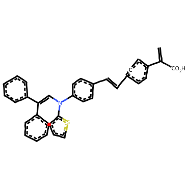 C=C(C(=O)O)c1ccc(C=Cc2ccc(N(C=C(c3ccccc3)c3ccccc3)c3cccs3)cc2)cc1